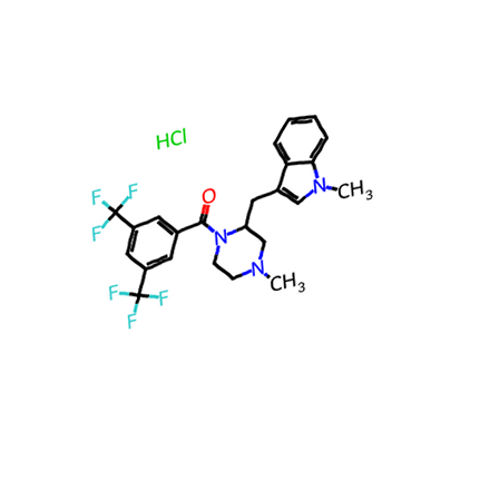 CN1CCN(C(=O)c2cc(C(F)(F)F)cc(C(F)(F)F)c2)C(Cc2cn(C)c3ccccc23)C1.Cl